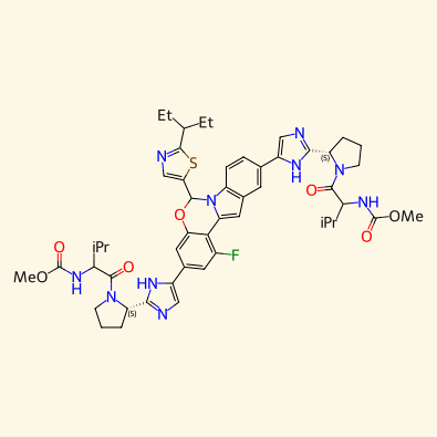 CCC(CC)c1ncc(C2Oc3cc(-c4cnc([C@@H]5CCCN5C(=O)C(NC(=O)OC)C(C)C)[nH]4)cc(F)c3-c3cc4cc(-c5cnc([C@@H]6CCCN6C(=O)C(NC(=O)OC)C(C)C)[nH]5)ccc4n32)s1